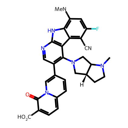 CNc1cc(F)c(C#N)c2c1[nH]c1ncc(-c3ccc4ccc(C(=O)O)c(=O)n4c3)c(N3CC4[C@H](CCN4C)C3)c12